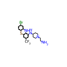 NCCN1CCC(Nc2cc(C(F)(F)F)cc3c2Nc2cc(Br)ccc2S3)CC1